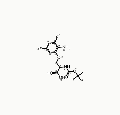 CC(C)(C)OC(=O)NC(COc1cc(F)cc(F)c1N)C(=O)O